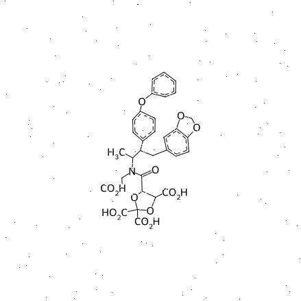 CC(C(Cc1ccc2c(c1)OCO2)c1ccc(Oc2ccccc2)cc1)N(CC(=O)O)C(=O)C1OC(C(=O)O)(C(=O)O)OC1C(=O)O